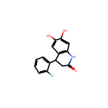 O=C1CC(c2ccccc2Cl)c2cc(O)c(O)cc2N1